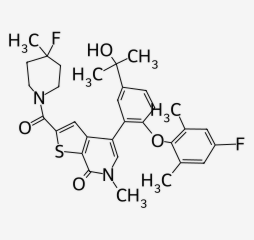 Cc1cc(F)cc(C)c1Oc1ccc(C(C)(C)O)cc1-c1cn(C)c(=O)c2sc(C(=O)N3CCC(C)(F)CC3)cc12